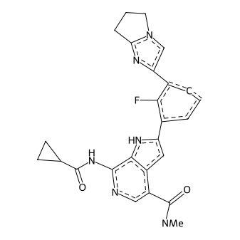 CNC(=O)c1cnc(NC(=O)C2CC2)c2[nH]c(-c3cccc(-c4cn5c(n4)CCC5)c3F)cc12